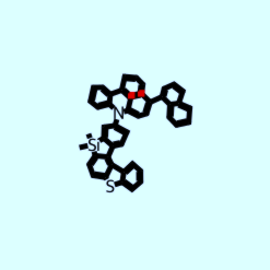 C[Si]1(C)c2cc(N(c3ccc(-c4cccc5ccccc45)cc3)c3ccccc3-c3ccccc3)ccc2-c2c1ccc1sc3ccccc3c21